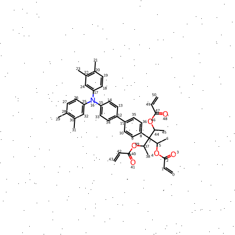 C=CC(=O)OC(C)C(c1ccc(-c2ccc(N(c3ccc(C)c(C)c3)c3ccc(C)c(C)c3)cc2)cc1)(C(C)OC(=O)C=C)C(C)OC(=O)C=C